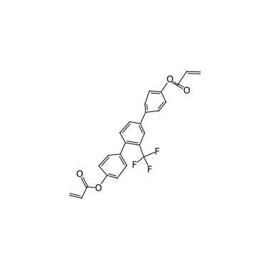 C=CC(=O)Oc1ccc(-c2ccc(-c3ccc(OC(=O)C=C)cc3)c(C(F)(F)F)c2)cc1